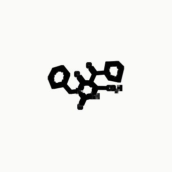 O=C(O)c1[nH]c(=O)n(Cc2ccccc2)c(=O)c1C(=O)c1ccccc1